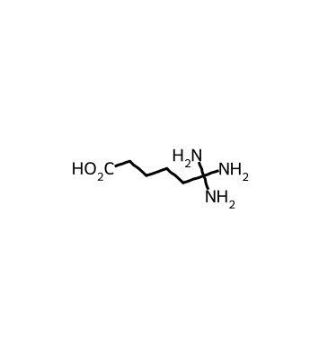 NC(N)(N)CCCCC(=O)O